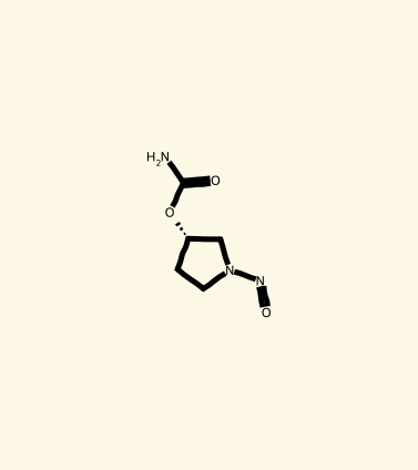 NC(=O)O[C@H]1CCN(N=O)C1